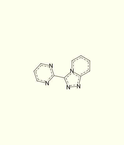 c1cnc(-c2nnc3ccccn23)nc1